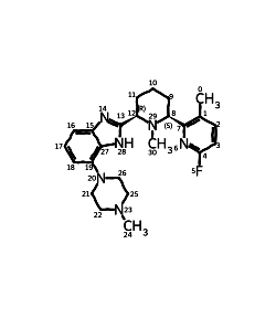 Cc1ccc(F)nc1[C@@H]1CCC[C@H](c2nc3cccc(N4CCN(C)CC4)c3[nH]2)N1C